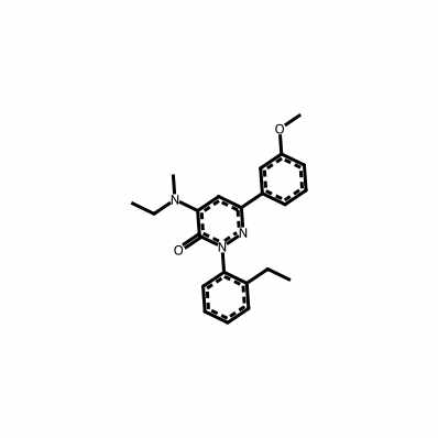 CCc1ccccc1-n1nc(-c2cccc(OC)c2)cc(N(C)CC)c1=O